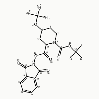 [2H]C([2H])([2H])OC1CCN(C(=O)OC(C)(C)C)C(C(=O)ON2C(=O)c3ccccc3C2=O)C1